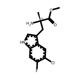 COC(=O)[C@@](C)(N)Cc1c[nH]c2cc(F)c(Cl)cc12